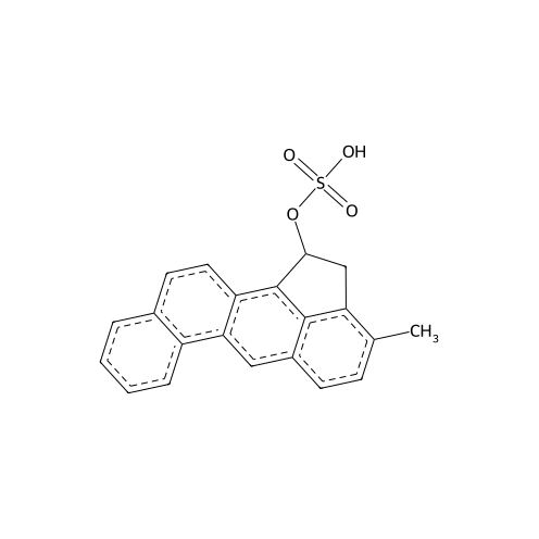 Cc1ccc2cc3c(ccc4ccccc43)c3c2c1CC3OS(=O)(=O)O